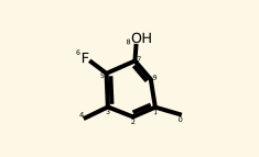 Cc1cc(C)c(F)c(O)c1